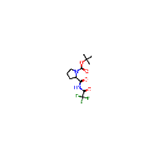 CC(C)(C)OC(=O)N1CCCC1C(=O)NC(=O)C(F)(F)F